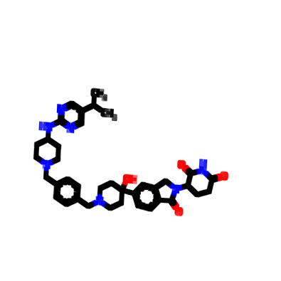 CC(C)c1cnc(NC2CCN(Cc3ccc(CN4CCC(O)(c5ccc6c(c5)CN(C5CCC(=O)NC5=O)C6=O)CC4)cc3)CC2)nc1